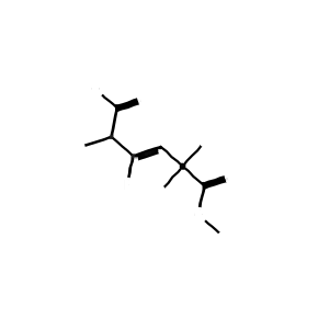 COC(=O)C(C)(C)C=C(Br)C(C)C(=O)O